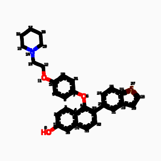 Oc1ccc2c(Oc3ccc(OCCN4CCCCC4)cc3)c(-c3ccc4sccc4c3)ccc2c1